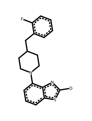 [O]c1nc2c(N3CCC(Cc4ccccc4F)CC3)cccc2s1